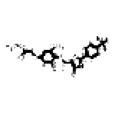 COC(=O)COc1cc(C)c(SCc2sc(-c3ccc(C(F)(F)F)cc3)nc2C)c(C)c1